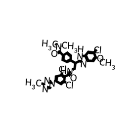 COc1cc2nc(C(CNC(=O)c3c(Cl)cc(-n4cnc(C)n4)cc3Cl)c3ccc(C(=O)N(C)C)cc3)[nH]c2cc1Cl